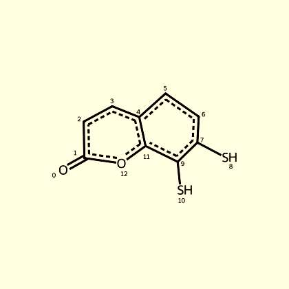 O=c1ccc2ccc(S)c(S)c2o1